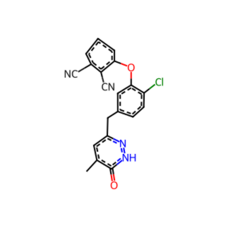 Cc1cc(Cc2ccc(Cl)c(Oc3cccc(C#N)c3C#N)c2)n[nH]c1=O